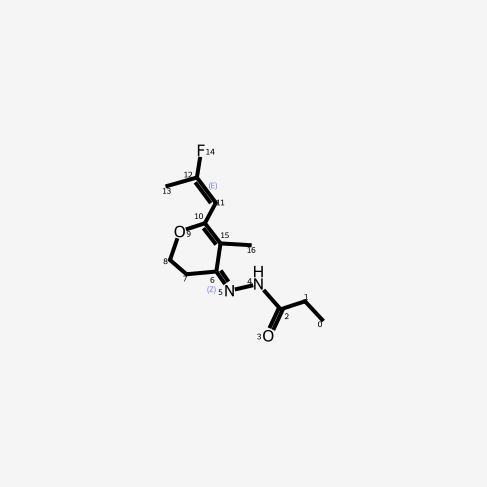 CCC(=O)N/N=C1/CCOC(/C=C(\C)F)=C1C